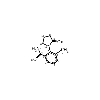 Cc1cccc(C(N)=O)c1N1CCCC1=O